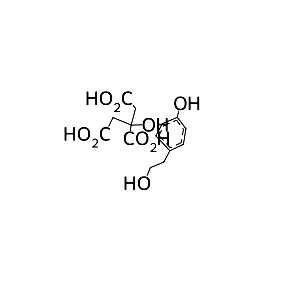 O=C(O)CC(O)(CC(=O)O)C(=O)O.OCCc1ccc(O)cc1